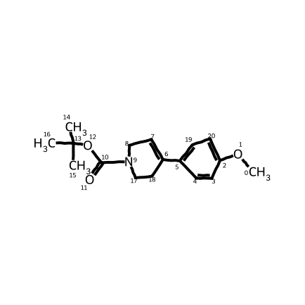 COc1ccc(C2=CCN(C(=O)OC(C)(C)C)CC2)cc1